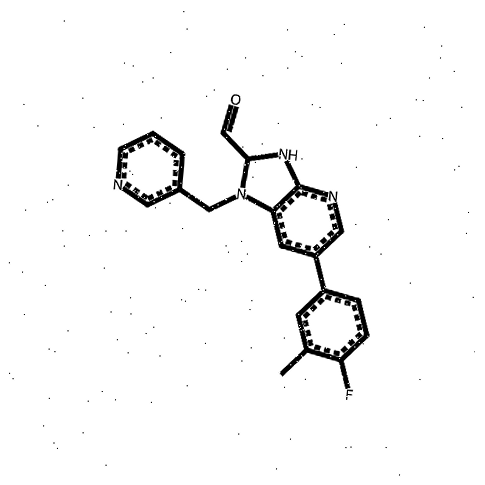 Cc1cc(-c2cnc3c(c2)N(Cc2cccnc2)C(C=O)N3)ccc1F